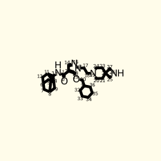 O=C(NC1C2CC3CC(C2)CC1C3)c1cnn(CCN2CCC3(CC2)CNC3)c1OCC1CCCCC1